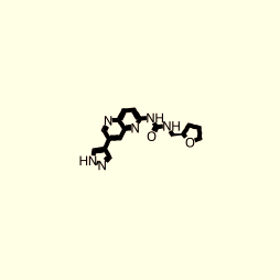 O=C(NC[C@H]1CCCO1)Nc1ccc2ncc(-c3cn[nH]c3)cc2n1